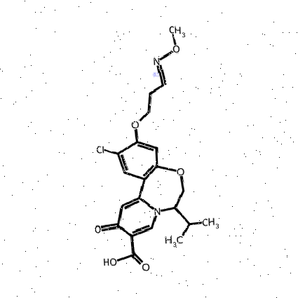 CO/N=C/CCOc1cc2c(cc1Cl)-c1cc(=O)c(C(=O)O)cn1C(C(C)C)CO2